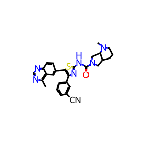 Cc1ncnc2ccc(-c3sc(NC(=O)N4CC5CCCN(C)C5C4)nc3-c3cccc(C#N)c3)cc12